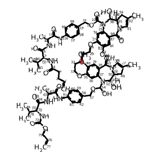 C=CCCC(=O)N[C@H](C(=O)N[C@@H](C)C(=O)Nc1ccc(COC(=O)N2c3cc(OCCCCCOc4cc5c(cc4OC)C(=O)N4C=C(C)C[C@H]4[C@H](O)N5C(O)OCc4ccc(NC(=O)[C@H](C)NC(=O)[C@@H](NC(=O)OCC=C)C(C)C)cc4)c(OC)cc3C(=O)N3C=C(C)C[C@H]3[C@@H]2O)cc1)C(C)C